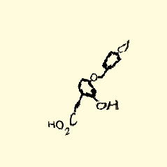 O=C(O)/C=C/c1ccc(OCc2ccc(Cl)cc2)cc1O